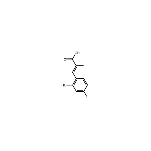 C/C(=C\c1ccc(Cl)cc1O)C(=O)O